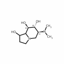 CN(C)[C@H]1CN2CCC(O)C2[C@@H](O)[C@@H]1O